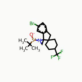 CC(C)(C)[S+]([O-])N1CC12c1cc(Br)ccc1CC21CCC(C(F)(F)F)CC1